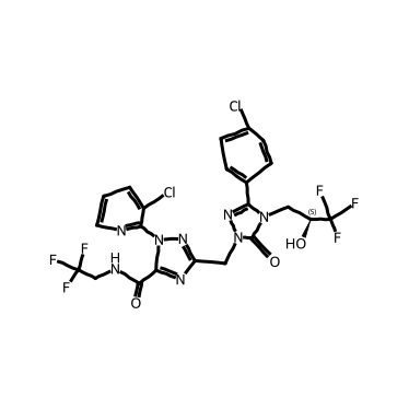 O=C(NCC(F)(F)F)c1nc(Cn2nc(-c3ccc(Cl)cc3)n(C[C@H](O)C(F)(F)F)c2=O)nn1-c1ncccc1Cl